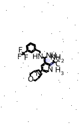 C/C(N)=c1\ncc(N2C3CCC2COC3)c\c1=C(\N)NCc1cccc(C(F)(F)F)c1